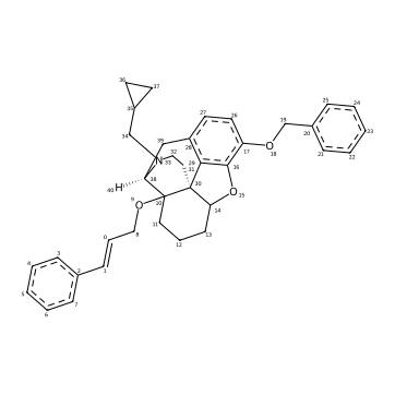 C(=Cc1ccccc1)COC12CCCC3Oc4c(OCc5ccccc5)ccc5c4[C@@]31CCN(CC1CC1)[C@@H]2C5